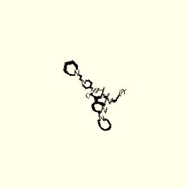 CC(C)Cn1nc(C(=O)NC2CCN(CCN3CCCCC3)CC2)c2ccc(N3CCCCCC3)nc21